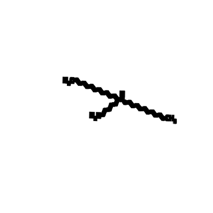 CCCCCCCCCCCCNC(CCCCCN)CCCCCCCCCCCC